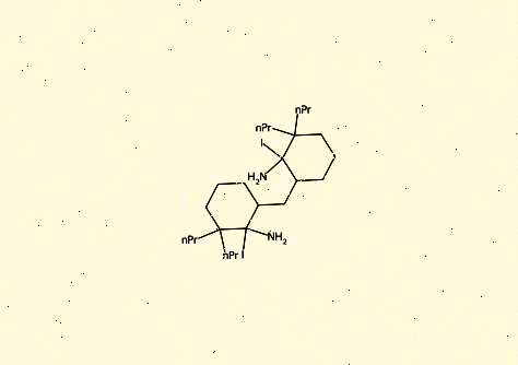 CCCC1(CCC)CCCC(CC2CCCC(CCC)(CCC)C2(N)I)C1(N)I